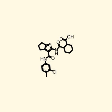 Cc1ccc(NC(=O)c2c(NC(=O)C3CCCCC3C(=O)O)sc3c2CCC3)cc1Cl